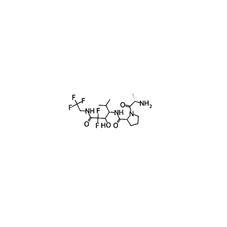 CC(C)C(NC(=O)C1CCCN1C(=O)[C@H](C)N)C(O)C(F)(F)C(=O)NCC(F)(F)F